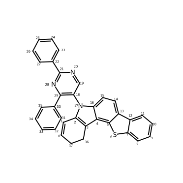 C1=Cc2c(c3c4sc5ccccc5c4ccc3n2-c2cnc(-c3ccccc3)nc2-c2ccccc2)CC1